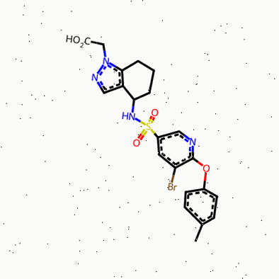 Cc1ccc(Oc2ncc(S(=O)(=O)NC3CCCc4c3cnn4CC(=O)O)cc2Br)cc1